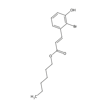 CCCCCCOC(=O)C=Cc1cccc(O)c1Br